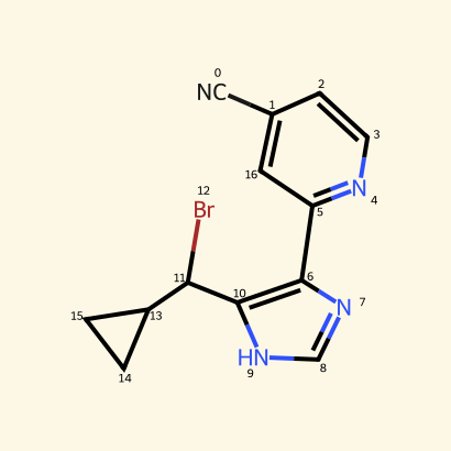 N#Cc1ccnc(-c2nc[nH]c2C(Br)C2CC2)c1